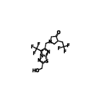 O=C1CN(Cc2nc3sc(CO)nn3c2C(F)(F)F)CC1CC(F)(F)F